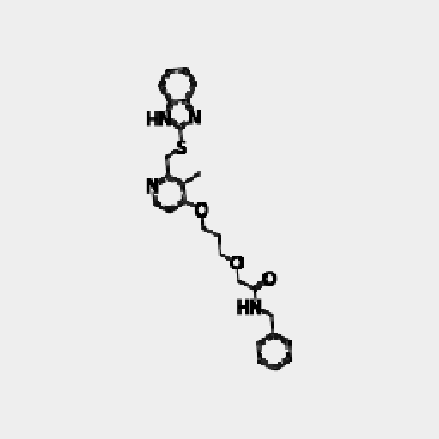 Cc1c(OCCCOCC(=O)NCc2ccccc2)ccnc1CSc1nc2ccccc2[nH]1